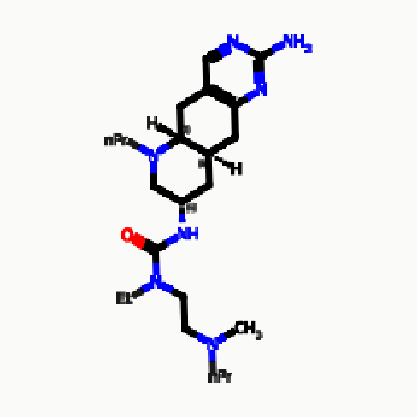 CCCN(C)CCN(CC)C(=O)N[C@H]1C[C@@H]2Cc3nc(N)ncc3C[C@H]2N(CCC)C1